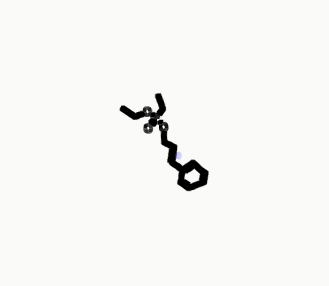 CCOP(=O)(CC)OC/C=C/c1ccccc1